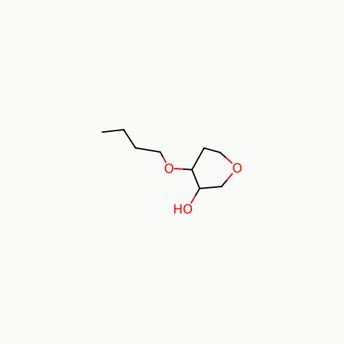 CCCCOC1CCOCC1O